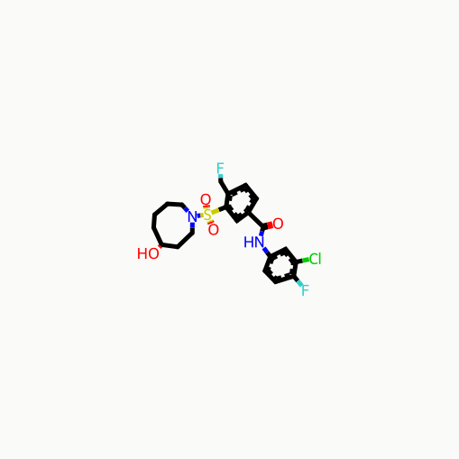 O=C(Nc1ccc(F)c(Cl)c1)c1ccc(CF)c(S(=O)(=O)N2CCCCC(O)CC2)c1